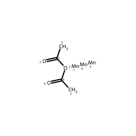 CC(=O)OC(C)=O.[Mn].[Mn].[Mn]